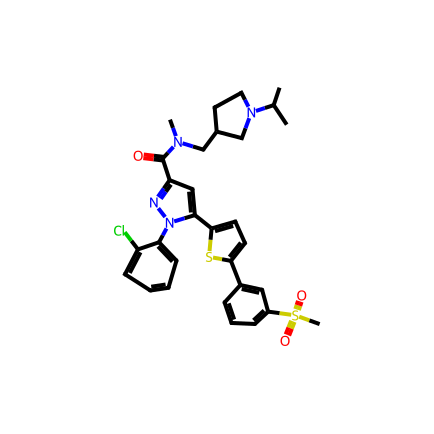 CC(C)N1CCC(CN(C)C(=O)c2cc(-c3ccc(-c4cccc(S(C)(=O)=O)c4)s3)n(-c3ccccc3Cl)n2)C1